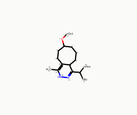 CCCCCCCCOC1CCCC2C(C(CCCC)CCCCCC)=NNC(C)=C2CC1